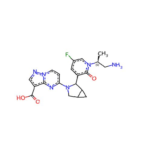 C[C@@H](CN)n1cc(F)cc(C2C3CC3CN2c2ccn3ncc(C(=O)O)c3n2)c1=O